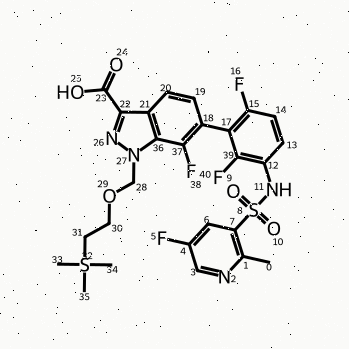 Cc1ncc(F)cc1S(=O)(=O)Nc1ccc(F)c(-c2ccc3c(C(=O)O)nn(COCCS(C)(C)C)c3c2F)c1F